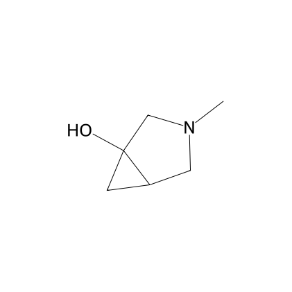 CN1CC2CC2(O)C1